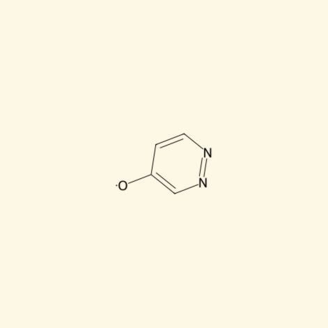 [O]c1ccnnc1